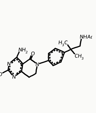 COc1nc(N)c2c(n1)CCN(c1ccc(C(C)(C)CNC(C)=O)cc1)C2=O